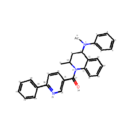 CC(=O)N(c1ccccc1)C1CC(C)N(C(=O)c2ccc(-c3ccccc3)nc2)c2ccccc21